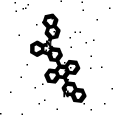 c1ccc2cc(-n3c4ccccc4c4cc(-c5c6ccccc6c(-c6cnc7ccccc7c6)c6ccccc56)ccc43)ccc2c1